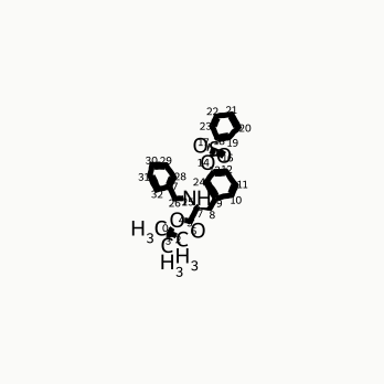 CC(C)(C)OC(=O)[C@H](Cc1cccc(OS(=O)(=O)c2ccccc2)c1)NCc1ccccc1